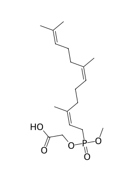 COP(=O)(CC=C(C)CCC=C(C)CCC=C(C)C)OCC(=O)O